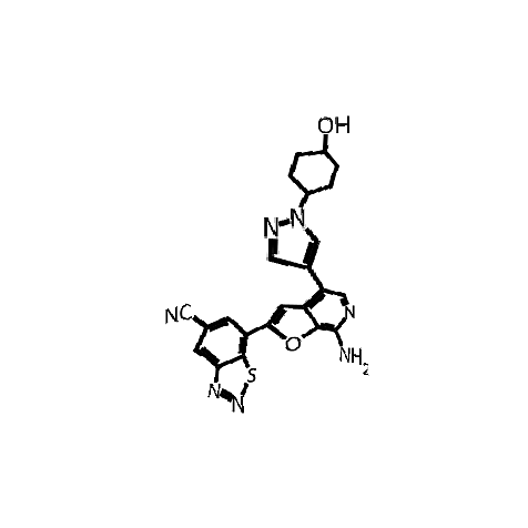 N#Cc1cc(-c2cc3c(-c4cnn(C5CCC(O)CC5)c4)cnc(N)c3o2)c2snnc2c1